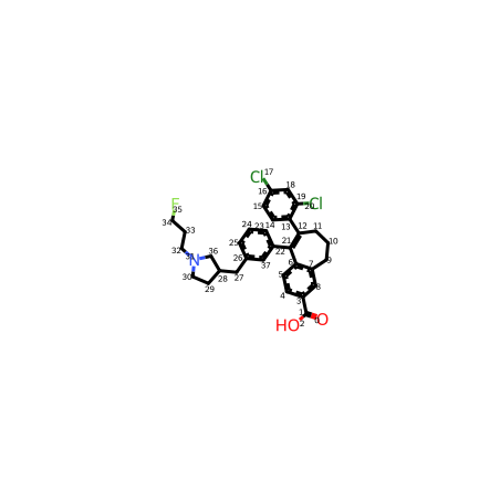 O=C(O)c1ccc2c(c1)CCCC(c1ccc(Cl)cc1Cl)=C2c1cccc(CC2CCN(CCCF)C2)c1